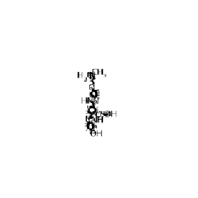 CN(C)CCCOc1ccc2nc(-c3ccc(-c4nc5ccc(O)cc5[nH]4)c(OCCO)c3)[nH]c2c1